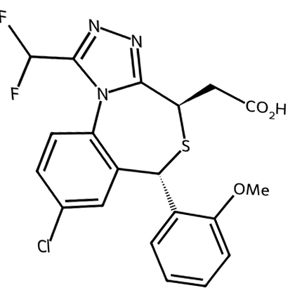 COc1ccccc1[C@H]1S[C@H](CC(=O)O)c2nnc(C(F)F)n2-c2ccc(Cl)cc21